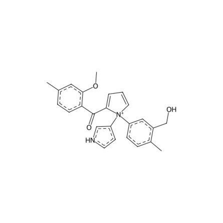 COc1cc(C)ccc1C(=O)C1=CC=C[N+]1(c1cc[nH]c1)c1ccc(C)c(CO)c1